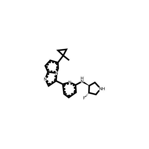 CC1(c2ccc3ncc(-c4cccc(N[C@H]5CNC[C@@H]5F)n4)n3c2)CC1